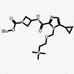 CC(C)(C)OC(=O)N1CC(NC(=O)c2ncc(C3CC3)n2COCC[Si](C)(C)C)C1